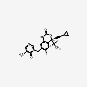 CC(F)(F)[C@@]1(C#CC2CC2)OC(=O)Nc2cc(Cn3cncc(N)c3=O)c(F)cc21